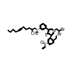 C=C[S+]([O-])c1ccc(CC)c(-c2cn(CC(Br)Br)cc(-c3cccc([S+]([O-])CC(Cl)CCCC#CCCCC)c3)c2=S)c1